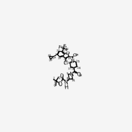 CC(C)(C)OC(=O)NC1CN(C(=O)C2CCN(C(=O)c3oc4c(C(F)(F)F)cc(C5CC5)cc4c3Cl)CC2)C1